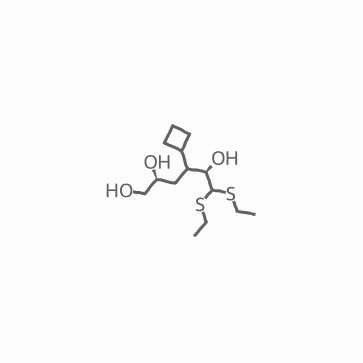 CCSC(SCC)[C@H](O)C(C[C@H](O)CO)C1CCC1